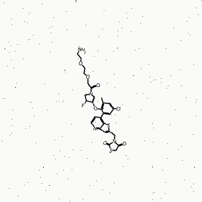 Cc1cc(Cl)cc(-c2ccnc3cc(CN4C(=O)CSC4=O)sc23)c1O[C@@H]1CN(C(=O)COCCOCCN)C[C@@H]1F